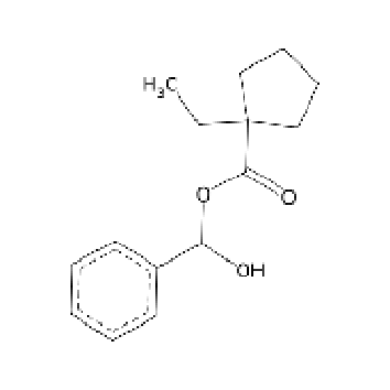 CCC1(C(=O)OC(O)c2ccccc2)CCCC1